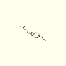 CCCN1CCC2(CC1)CN(CCCC(C)C)C2